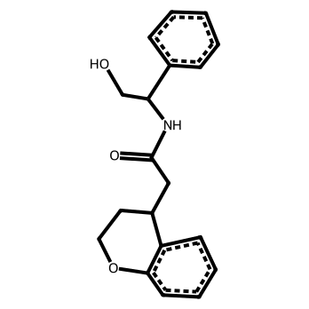 O=C(CC1CCOc2ccccc21)NC(CO)c1ccccc1